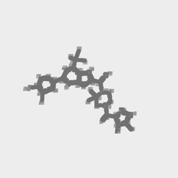 C=C(c1nnc(C)[nH]1)N1CCN(C(=O)c2cc3nc(-c4ccc(F)c(C)c4)cc(C(C)(C)C)c3o2)C(C)(C)C1